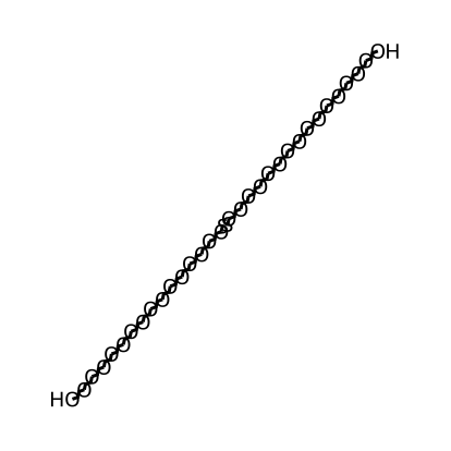 OCCOCCOCCOCCOCCOCCOCCOCCOCCOCCOCCOCCOCCOCCOCCOSSOCCOCCOCCOCCOCCOCCOCCOCCOCCOCCOCCOCCOCCOCCOCCO